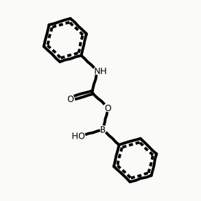 O=C(Nc1ccccc1)OB(O)c1ccccc1